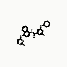 Cc1nccc(Oc2ccc(NC(=O)c3cc(F)cc(OC4CCCCC4)c3)c3ccccc23)n1